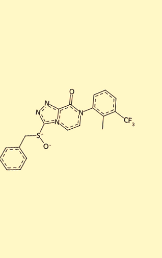 Cc1c(-n2ccn3c([S+]([O-])Cc4ccccc4)nnc3c2=O)cccc1C(F)(F)F